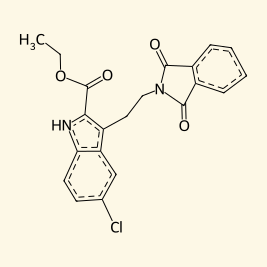 CCOC(=O)c1[nH]c2ccc(Cl)cc2c1CCN1C(=O)c2ccccc2C1=O